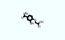 CCCCC(=O)c1ccc(OCC(O)CC)c(CCC)c1